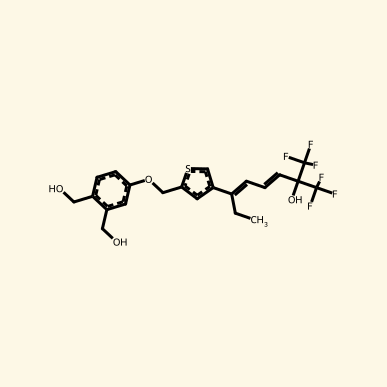 CCC(=CC=CC(O)(C(F)(F)F)C(F)(F)F)c1csc(COc2ccc(CO)c(CO)c2)c1